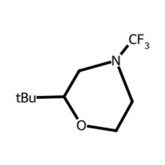 CC(C)(C)C1CN(C(F)(F)F)CCO1